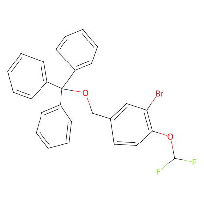 FC(F)Oc1ccc(COC(c2ccccc2)(c2ccccc2)c2ccccc2)cc1Br